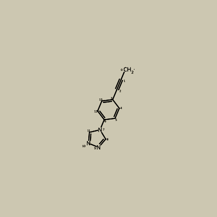 [CH2]C#Cc1ccc(-n2cnnc2)cc1